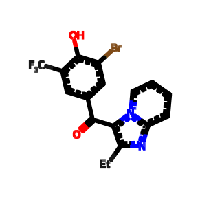 CCc1nc2ccccn2c1C(=O)c1cc(Br)c(O)c(C(F)(F)F)c1